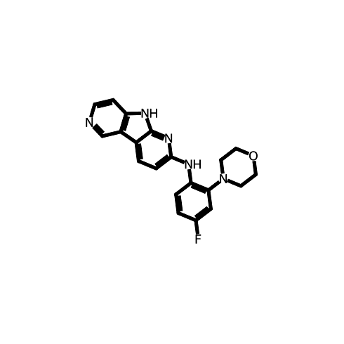 Fc1ccc(Nc2ccc3c(n2)[nH]c2ccncc23)c(N2CCOCC2)c1